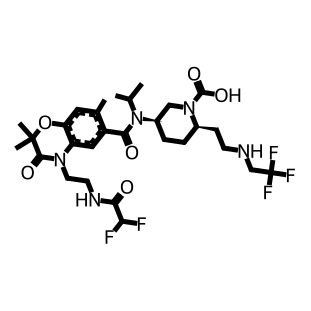 Cc1cc2c(cc1C(=O)N(C(C)C)[C@@H]1CC[C@H](CCNCC(F)(F)F)N(C(=O)O)C1)N(CCNC(=O)C(F)F)C(=O)C(C)(C)O2